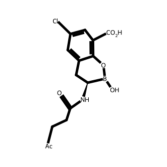 CC(=O)CCC(=O)N[C@H]1Cc2cc(Cl)cc(C(=O)O)c2OB1O